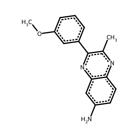 COc1cccc(-c2nc3cc(N)ccc3nc2C)c1